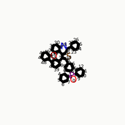 O=P(c1ccccc1)(c1ccccc1)c1ccc(-c2sc3c(-c4ccccc4)nc4ccccc4c3c2-c2cccc3c2oc2ccccc23)cc1